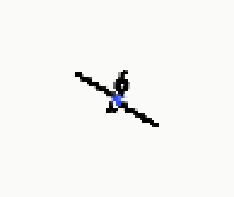 CCCCCCCCCC[N+](CCCCCCCCCC)(Cc1ccc(CC)cc1)CC(C)C